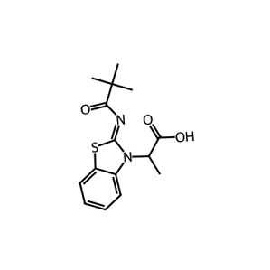 CC(C(=O)O)n1c(=NC(=O)C(C)(C)C)sc2ccccc21